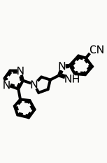 N#Cc1ccc2[nH]c(C3CCN(c4nccnc4-c4ccccc4)C3)nc2c1